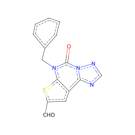 O=Cc1cc2c(s1)n(Cc1ccccc1)c(=O)n1ncnc21